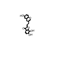 O=C1C(=CCC2=COc3ccc(O)cc3C2)Oc2c1ccc(O)c2O